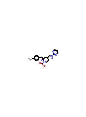 Cc1ccc(CC2(I)CC(CNc3ncccn3)CCN2C(=O)O)cc1